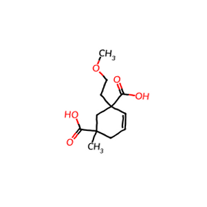 COCCC1(C(=O)O)C=CCC(C)(C(=O)O)C1